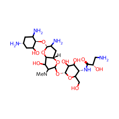 CNC1C(O[C@H]2OC(CO)[C@@H](NC(=O)[C@@H](O)CN)C(O)C2O)O[C@H]2CC(N)[C@@H](O[C@@H]3C(N)C[C@@H](N)CC3O)OC2C1O